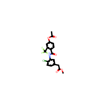 COC(=O)Cc1ccc(Cl)c(NC(=O)c2ccc(OC(C)=O)cc2C(F)(F)F)c1